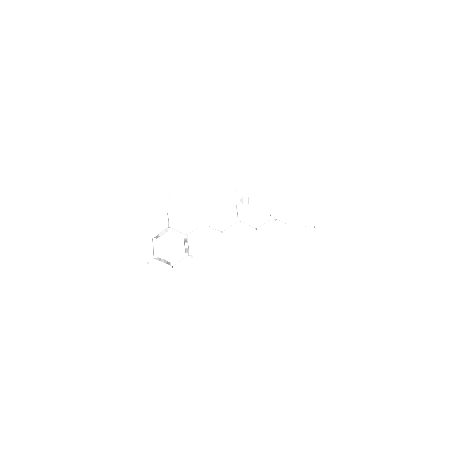 [CH2]CCCCCNCC(O)COc1ccccc1F